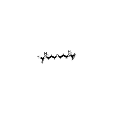 FC(F)[SiH2]CCCOCCC[SiH2]C(F)F